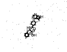 O=C(N[C@H](Cc1ccccc1)C(=O)NO)C1CCN(c2ncnc3[nH]ccc23)CC1